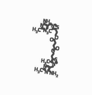 Cc1ncc(C[n+]2csc(CCOC(=O)CCC(=O)OCCc3sc[n+](Cc4cnc(C)nc4N)c3C)c2C)c(N)n1